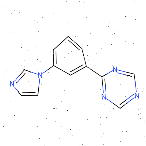 c1cc(-c2ncncn2)cc(-n2ccnc2)c1